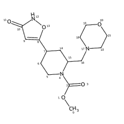 COC(=O)N1CCC(c2cc(=O)[nH]o2)CC1CN1CCOCC1